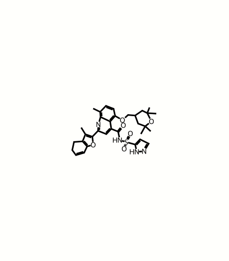 Cc1c(-c2cc(C(=O)NS(=O)(=O)c3ccn[nH]3)c3c(OCC4CC(C)(C)OC(C)(C)C4)ccc(C)c3n2)oc2c1CCC=C2